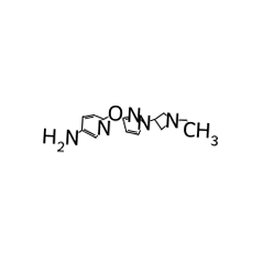 CCN1CC(n2ccc(Oc3ccc(N)cn3)n2)C1